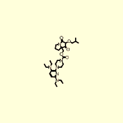 CCN(CC)c1ccc(N(CC)CC)c(N2CCN(C(=O)OCC34CCCN3C(=O)C(OCC(C)C)C4=O)CC2)n1